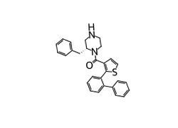 O=C(c1ccsc1-c1ccccc1-c1ccccc1)N1CCNC[C@H]1Cc1ccccc1